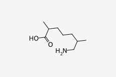 CC(CN)CCCC(C)C(=O)O